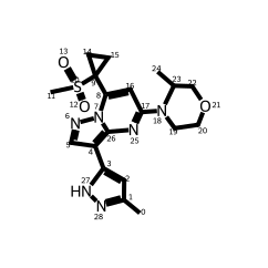 Cc1cc(-c2cnn3c(C4(S(C)(=O)=O)CC4)cc(N4CCOCC4C)nc23)[nH]n1